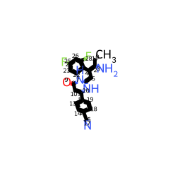 CC/C(N)=C(/C=C1\NC(=O)C=C(c2ccc(C#N)cc2)N1)c1ccc(F)cc1F